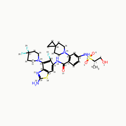 C[C@@H](CO)S(=O)(=O)Nc1ccc(C(=O)Nc2cc3sc(N)nc3c(N3CCC(F)(F)CC3)c2F)c(N2CCC3(CC2)CC3)c1